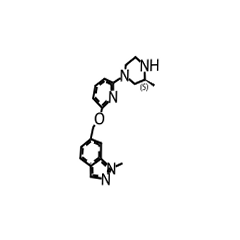 C[C@H]1CN(c2cccc(OCc3ccc4cnn(C)c4c3)n2)CCN1